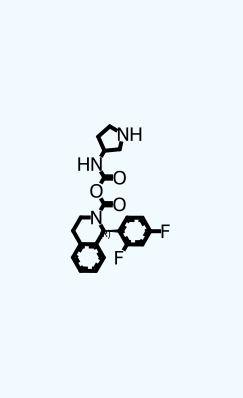 O=C(NC1CCNC1)OC(=O)N1CCc2ccccc2[C@@H]1c1ccc(F)cc1F